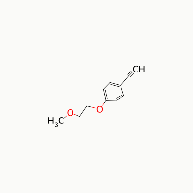 C#Cc1ccc(OCCOC)cc1